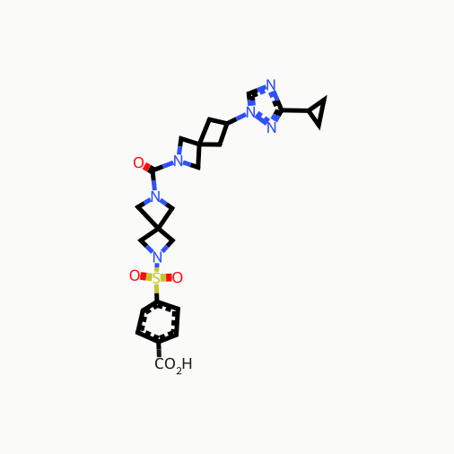 O=C(O)c1ccc(S(=O)(=O)N2CC3(CN(C(=O)N4CC5(CC(n6cnc(C7CC7)n6)C5)C4)C3)C2)cc1